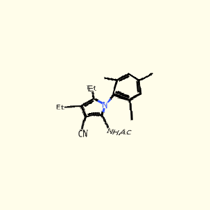 CCc1c(C#N)c(NC(C)=O)n(-c2c(C)cc(C)cc2C)c1CC